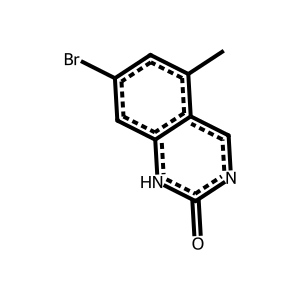 Cc1cc(Br)cc2[nH]c(=O)ncc12